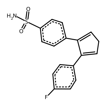 NS(=O)(=O)c1ccc(C2=CCC=C2c2ccc(F)cc2)cc1